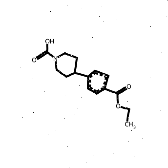 CCOC(=O)c1ccc(C2CCN(C(=O)O)CC2)cc1